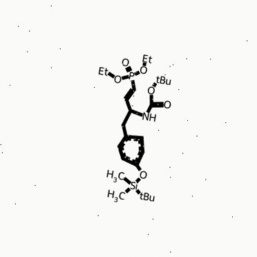 CCOP(=O)(C=CC(Cc1ccc(O[Si](C)(C)C(C)(C)C)cc1)NC(=O)OC(C)(C)C)OCC